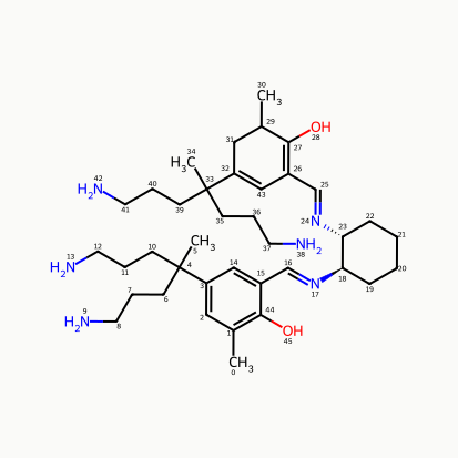 Cc1cc(C(C)(CCCN)CCCN)cc(/C=N/[C@@H]2CCCC[C@H]2/N=C/C2=C(O)C(C)CC(C(C)(CCCN)CCCN)=C2)c1O